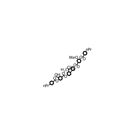 CCCc1ccc(C(=O)Oc2ccc(C(=O)Oc3ccc4c(c3)C(C)(C)c3cc(OC(=O)c5ccc(OC(=O)c6ccc(CCC)cc6)c(OC)c5)ccc3-4)cc2CO)cc1